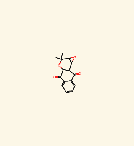 CC1(C)OC2C(=O)c3ccccc3C(=O)C2C2OC21